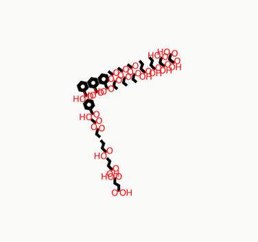 CCC(=O)OC(C)=O.CCC(=O)OC(C)=O.CCC(=O)OC(C)=O.CCC(=O)OC(C)=O.CCCC(=O)O.CCCC(=O)O.CCCC(=O)O.CCCC(=O)O.O=C(O)CC(=O)O.O=C(O)CC(=O)O.O=C(O)CCC(=O)O.O=C(O)c1ccccc1.O=C(O)c1ccccc1.O=C(O)c1ccccc1.O=C(O)c1ccccc1